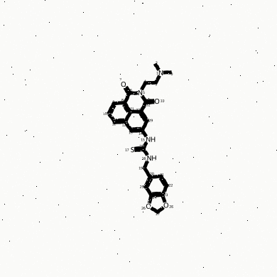 CN(C)CCN1C(=O)c2cccc3cc(NC(=S)NCc4ccc5c(c4)OCO5)cc(c23)C1=O